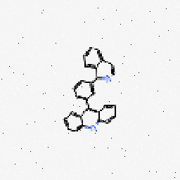 c1cc(-c2nccc3ccccc23)cc(-c2c3ccccc3nc3ccccc23)c1